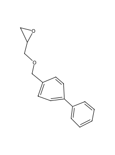 c1ccc(-c2ccc(COCC3CO3)cc2)cc1